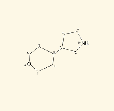 C1CC(C2CCOCC2)CN1